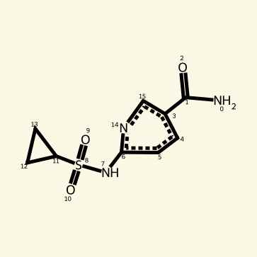 NC(=O)c1ccc(NS(=O)(=O)C2CC2)nc1